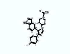 O=C(O)N1CCC(n2cnc(-c3ccc(F)cc3)c2-c2ccc3[nH]ncc3c2)CC1